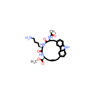 COC(=O)[C@@H]1CC=CCc2ccc3[nH]c4ccc(cc4c3c2)CC(NC(C)=O)C(=O)N[C@H](CCCCN)C(=O)N1